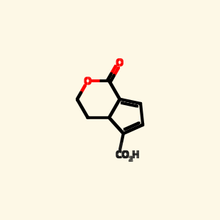 O=C(O)C1=CC=C2C(=O)OCCC12